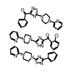 O=C(c1ccccc1)c1nsc(N2CCN(c3ccccn3)CC2)n1.O=C(c1nsc(N2CCN(c3ccccn3)CC2)n1)c1ccccc1Cl.c1ccc(-c2nsc(N3CCN(c4ccccn4)CC3)n2)cc1